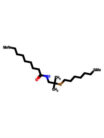 CNCCCCCCCC(=O)NCC(C)(C)SCCCCCCNC